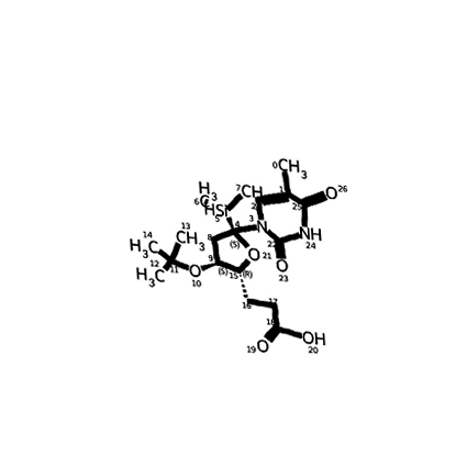 Cc1cn([C@@]2([SiH](C)C)C[C@H](OC(C)(C)C)[C@@H](CCC(=O)O)O2)c(=O)[nH]c1=O